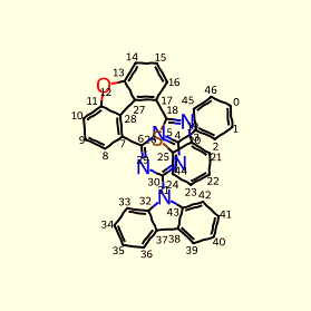 c1ccc(-c2nc(-c3cccc4oc5cccc(-c6nc7ccccc7s6)c5c34)nc(-n3c4ccccc4c4ccccc43)n2)cc1